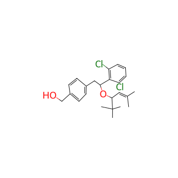 CC(C)=CC(OC(Cc1ccc(CO)cc1)c1c(Cl)cccc1Cl)C(C)(C)C